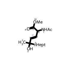 CCCCCCCC(C)(O)/C=C/C(NC(C)=O)C(=O)OC